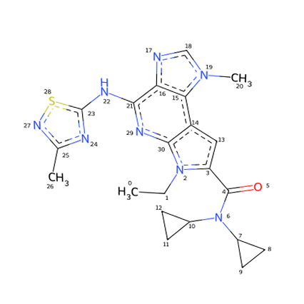 CCn1c(C(=O)N(C2CC2)C2CC2)cc2c3c(ncn3C)c(Nc3nc(C)ns3)nc21